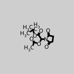 CC(=O)OC(C(=O)OC(C)(C)C)N1C(=O)CCC1=O